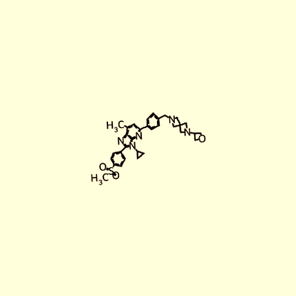 Cc1cc(-c2ccc(CN3CC4(C3)CN(C3COC3)C4)cc2)nc2c1nc(-c1ccc(S(C)(=O)=O)cc1)n2C1CC1